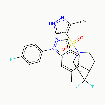 CCCc1n[nH]cc1S(=O)(=O)N1CCC2(c3cc4cnn(-c5ccc(F)cc5)c4cc3C)C(C1)C2(F)F